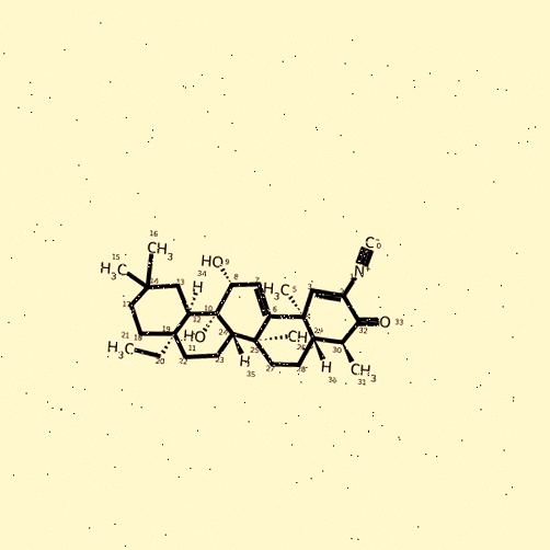 [C-]#[N+]C1=C[C@]2(C)C3=C[C@@H](O)[C@]4(O)[C@@H]5CC(C)(C)CC[C@]5(CC)CC[C@H]4[C@]3(C)CC[C@H]2[C@H](C)C1=O